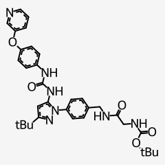 CC(C)(C)OC(=O)NCC(=O)NCc1ccc(-n2nc(C(C)(C)C)cc2NC(=O)Nc2ccc(Oc3cccnc3)cc2)cc1